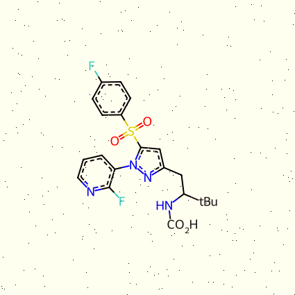 CC(C)(C)C(Cc1cc(S(=O)(=O)c2ccc(F)cc2)n(-c2cccnc2F)n1)NC(=O)O